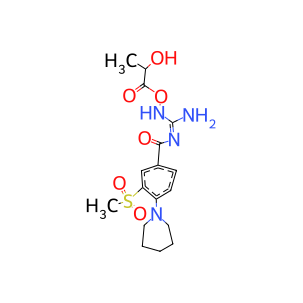 CC(O)C(=O)ONC(N)=NC(=O)c1ccc(N2CCCCC2)c(S(C)(=O)=O)c1